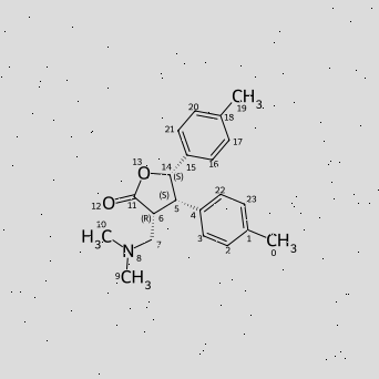 Cc1ccc([C@@H]2[C@H](CN(C)C)C(=O)O[C@@H]2c2ccc(C)cc2)cc1